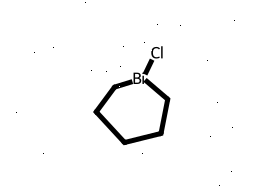 [Cl][Bi]1[CH2]CCC[CH2]1